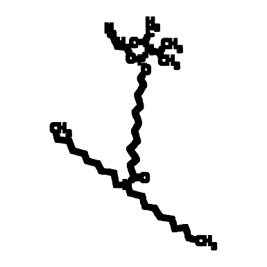 CCCCCCCCCCN(CCCCCCCCCC)C(=O)CCCCCCCCCCCOP(OCCC#N)N(C(C)C)C(C)C